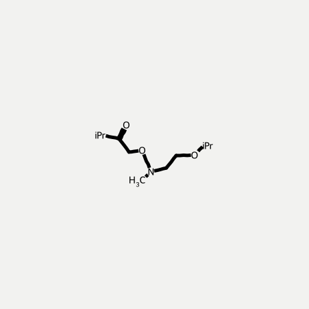 CC(C)OCCN(C)OCC(=O)C(C)C